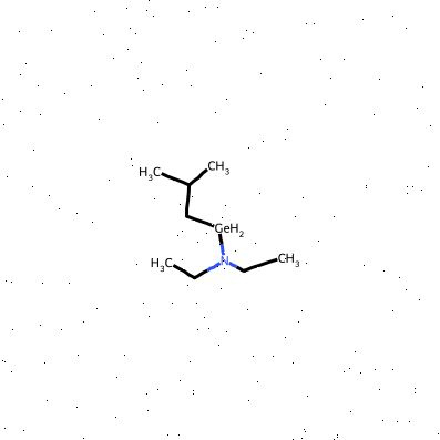 CC[N](CC)[GeH2][CH2]C(C)C